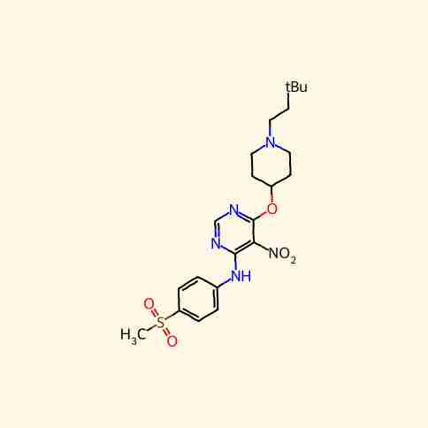 CC(C)(C)CCN1CCC(Oc2ncnc(Nc3ccc(S(C)(=O)=O)cc3)c2[N+](=O)[O-])CC1